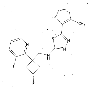 Cc1ccsc1-c1nnc(NCC2(c3ncccc3F)CC(F)C2)s1